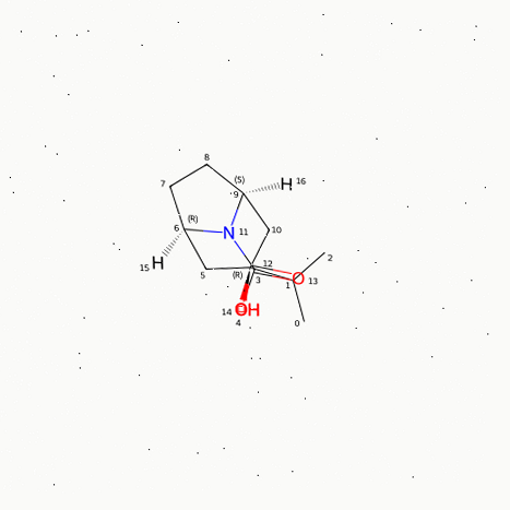 CC(C)[C@]1(O)C[C@H]2CC[C@@H](C1)N2C(=O)O